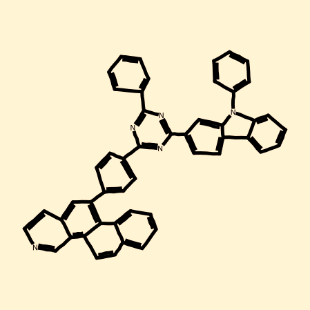 c1ccc(-c2nc(-c3ccc(-c4cc5ccncc5c5ccc6ccccc6c45)cc3)nc(-c3ccc4c5ccccc5n(-c5ccccc5)c4c3)n2)cc1